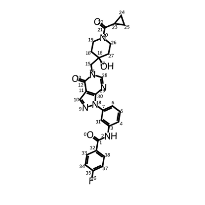 O=C(Nc1cccc(-n2ncc3c(=O)n(CC4(O)CCN(C(=O)C5CC5)CC4)cnc32)c1)c1ccc(F)cc1